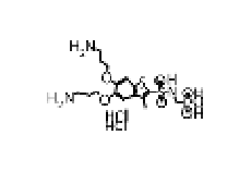 Cc1c(S(=O)(=O)NCP(=O)(O)O)sc2cc(OCCCN)c(OCCCN)cc12.Cl.Cl